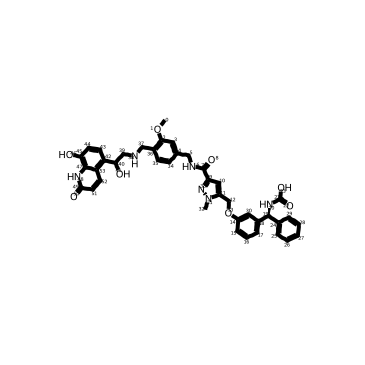 COc1cc(CNC(=O)c2cc(COc3cccc([C@@H](NC(=O)O)c4ccccc4)c3)n(C)n2)ccc1CNCC(O)c1ccc(O)c2[nH]c(=O)ccc12